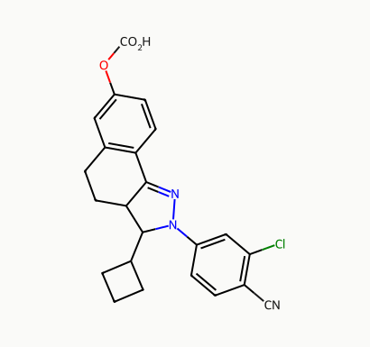 N#Cc1ccc(N2N=C3c4ccc(OC(=O)O)cc4CCC3C2C2CCC2)cc1Cl